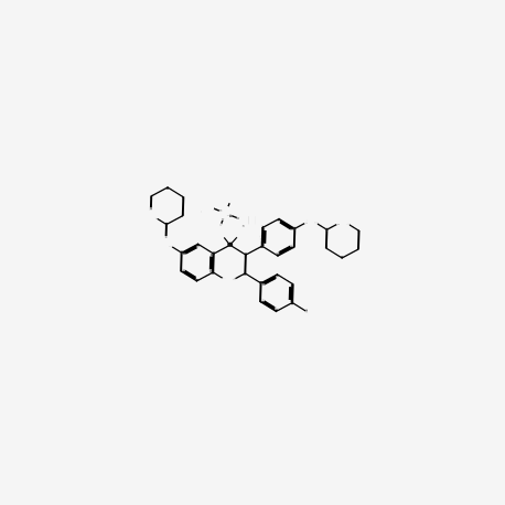 CC1(O[Si](C)(C)C)c2cc(OC3CCCCO3)ccc2OC(c2ccc(I)cc2)C1c1ccc(OC2CCCCO2)cc1